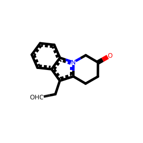 O=CCc1c2n(c3ccccc13)CC(=O)CC2